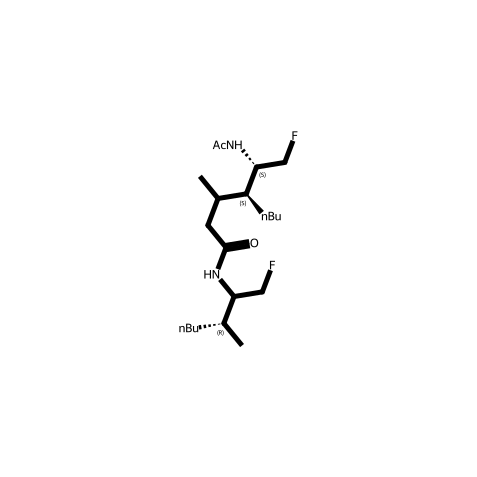 CCCC[C@@H](C)C(CF)NC(=O)CC(C)[C@H](CCCC)[C@@H](CF)NC(C)=O